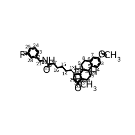 COc1ccc2c(c1)CC[C@H]1[C@@H]3[C@H](CCCCCC(=O)NCc4cccc(F)c4)CC(=O)[C@@]3(C)CC[C@H]21